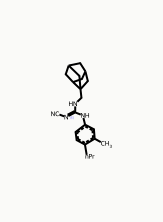 CCCc1ccc(N/C(=N/C#N)NCC23CC4CC(CC2C4)C3)cc1C